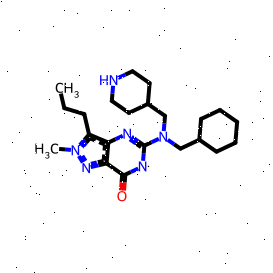 CCCc1c2c(nn1C)C(=O)[N]C(N(CC1CCCCC1)CC1CCNCC1)=N2